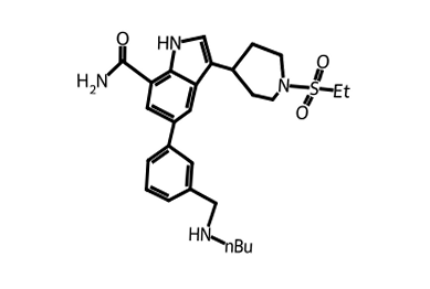 CCCCNCc1cccc(-c2cc(C(N)=O)c3[nH]cc(C4CCN(S(=O)(=O)CC)CC4)c3c2)c1